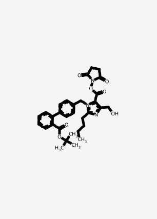 CCCCc1nc(CO)c(C(=O)ON2C(=O)CCC2=O)n1Cc1ccc(-c2ccccc2C(=O)OC(C)(C)C)cc1